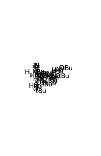 C[C@@H](OC(C)(C)C)[C@H](NC(=O)[C@H](CCCCNC(=O)OC(C)(C)C)NC(=O)[C@@H](N)Cc1cccnc1)C(=O)N[C@H](C(=O)N[C@@H](CCCCNC(=O)OC(C)(C)C)C(=O)N[C@@H](COC(C)(C)C)C(=O)OC(C)(C)C)[C@@H](C)OC(C)(C)C